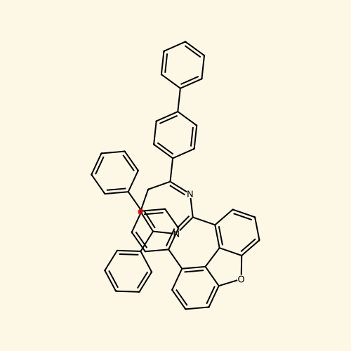 C1=C(c2ccccc2)N=C(c2cccc3oc4cccc(-c5ccc(-c6ccccc6)cc5)c4c23)N=C(c2ccc(-c3ccccc3)cc2)C1